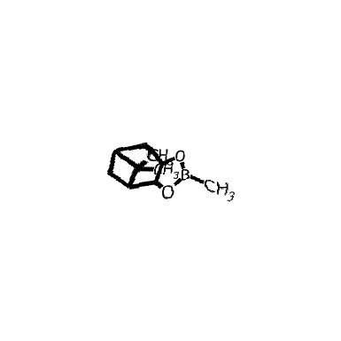 CB1OC2CC3CC(C2O1)C3(C)C